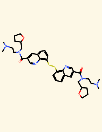 CN(C)CCN(CC1CCCO1)C(=O)c1cnc2c(SSc3cccc4cc(C(=O)N(CCN(C)C)CC5CCCO5)cnc34)cccc2c1